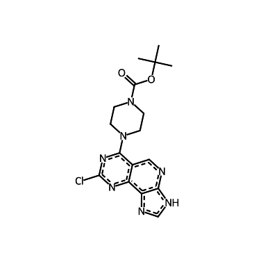 CC(C)(C)OC(=O)N1CCN(c2nc(Cl)nc3c2cnc2[nH]cnc23)CC1